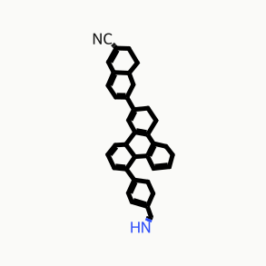 N#CC1=CC2=CC=C(C3=CC4=C(CC3)C3=C(C=CCC3)C3C(C5=CC=C(C=N)CC5)=CC=CC43)CC2CC1